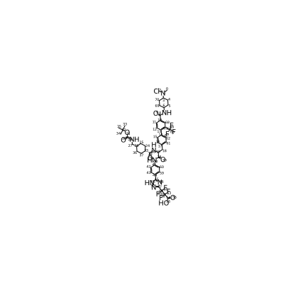 CN(Cl)C1CCC(NC(=O)c2ccc(-c3ccc(CC(NC(=O)[C@H]4CC[C@H](CNC(=O)OC(C)(C)C)CC4)C(=O)Nc4ccc(-c5nc(C(F)(F)C(F)(F)C(=O)O)n[nH]5)cc4)cc3)c(C(F)(F)F)c2)CC1